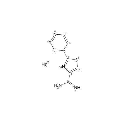 Cl.N=C(N)c1csc(-c2ccncc2)n1